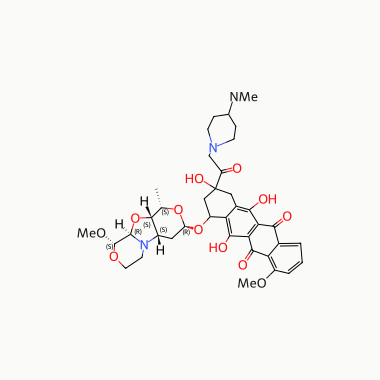 CNC1CCN(CC(=O)C2(O)Cc3c(O)c4c(c(O)c3C(O[C@H]3C[C@H]5[C@H](O[C@@H]6[C@@H](OC)OCCN65)[C@H](C)O3)C2)C(=O)c2c(OC)cccc2C4=O)CC1